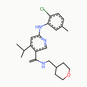 C=C(NCC1CCOCC1)c1cnc(Nc2cc(C)ccc2Cl)cc1C(C)C